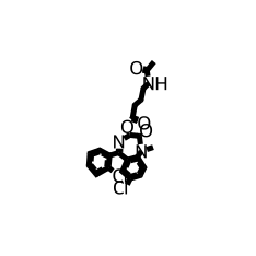 CC(=O)NCCCC(=O)OC1N=C(c2ccccc2Cl)c2cc(Cl)ccc2N(C)C1=O